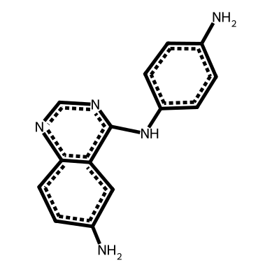 Nc1ccc(Nc2ncnc3ccc(N)cc23)cc1